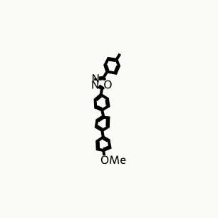 COc1ccc(-c2ccc(-c3ccc(-c4nnc(-c5ccc(C)cc5)o4)cc3)cc2)cc1